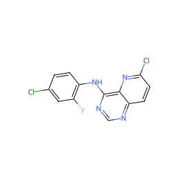 Fc1cc(Cl)ccc1Nc1ncnc2ccc(Cl)nc12